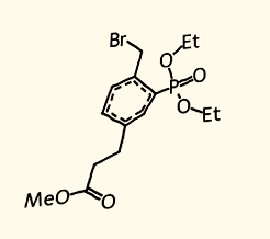 CCOP(=O)(OCC)c1cc(CCC(=O)OC)ccc1CBr